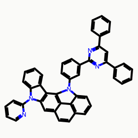 c1ccc(-c2cc(-c3ccccc3)nc(-c3cccc(-n4c5cccc6ccc7cc8c(c9ccccc9n8-c8ccccn8)c4c7c65)c3)n2)cc1